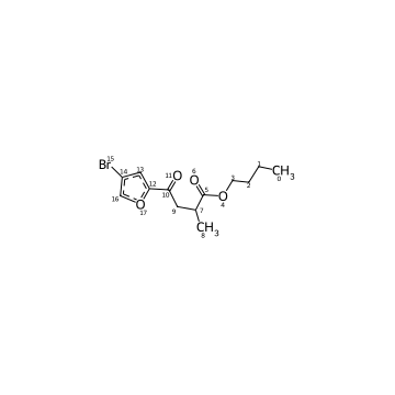 CCCCOC(=O)C(C)CC(=O)c1cc(Br)co1